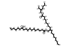 CCCCCCCCCC(CCCCCCCC(=O)OCC(CC)CCCC)COC(=O)CCCCCCCCCCC(O)CCCCCC